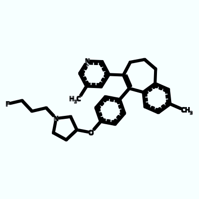 Cc1cncc(C2=C(c3ccc(OC4CCN(CCCF)C4)cc3)c3ccc(C)cc3CCC2)c1